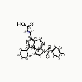 Cc1ccc(S(=O)(=O)n2ccc3c2ncc2c(/C=C/C(=O)O)nc(C4CCCCC4)n23)cc1